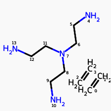 C=C.C=C.NCCN(CCN)CCN